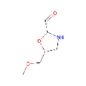 COCC1CNC(C=O)O1